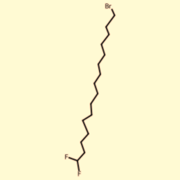 FC(F)CCCCCCCCCCCCCCCBr